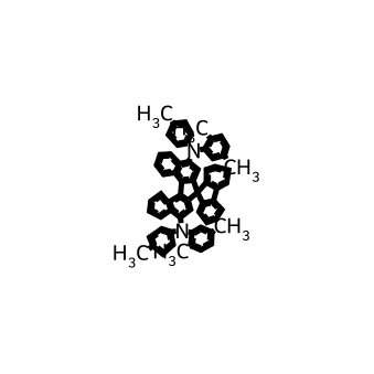 Cc1ccc(N(c2cc(C)ccc2C)c2cc3c(c4ccccc24)-c2c(cc(N(c4ccc(C)cc4)c4cc(C)ccc4C)c4ccccc24)C32c3ccccc3-c3ccccc32)cc1